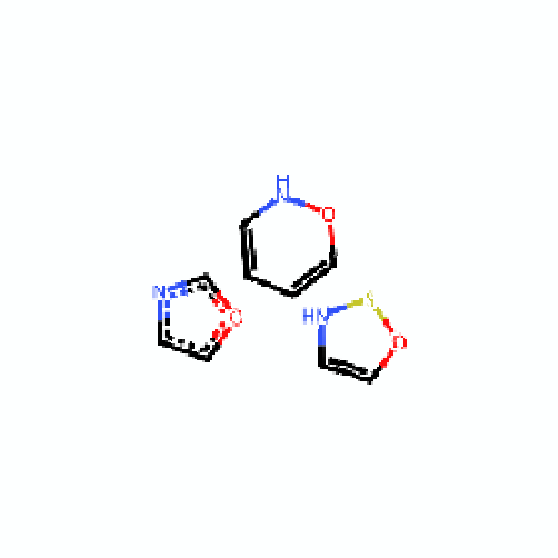 C1=CNOC=C1.C1=COSN1.c1cocn1